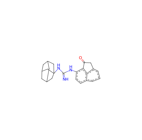 N=C(Nc1ccc2cccc3c2c1C(=O)C3)NC12CC3CC(CC(C3)C1)C2